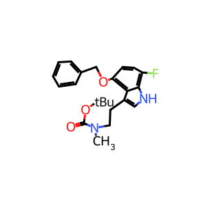 CN(CCc1c[nH]c2c(F)ccc(OCc3ccccc3)c12)C(=O)OC(C)(C)C